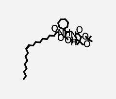 CCCCCCCC/C=C\CCCCCCCC(=O)NC1(C(CNC(=O)C2OC(C)(C)OCC2(C)C)C(=O)O)CCCCCC1